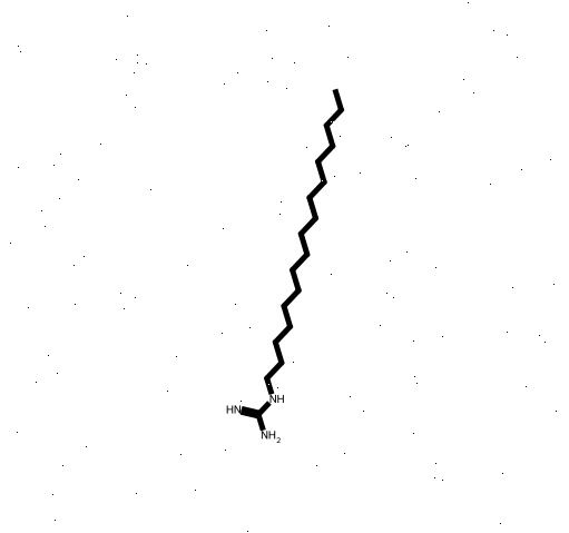 CCCCCCCCCCCCCCCCCNC(=N)N